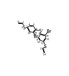 C=CSc1ccc(Sc2ccc(SC=C)cc2Br)c(Br)c1